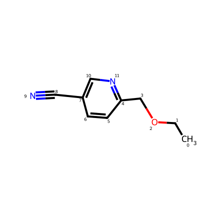 CCOCc1ccc(C#N)cn1